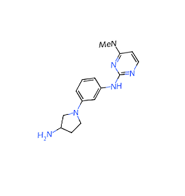 CNc1ccnc(Nc2cccc(N3CCC(N)C3)c2)n1